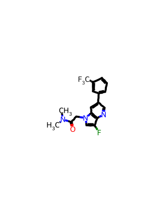 CN(C)C(=O)Cn1cc(F)c2ncc(-c3cccc(C(F)(F)F)c3)cc21